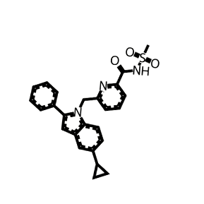 CS(=O)(=O)NC(=O)c1cccc(Cn2c(-c3ccccc3)cc3cc(C4CC4)ccc32)n1